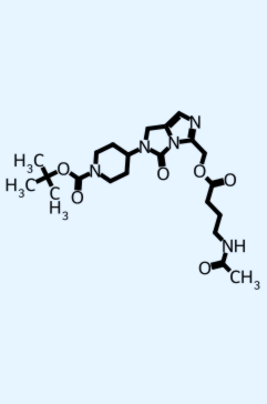 CC(=O)NCCCC(=O)OCc1ncc2n1C(=O)N(C1CCN(C(=O)OC(C)(C)C)CC1)C2